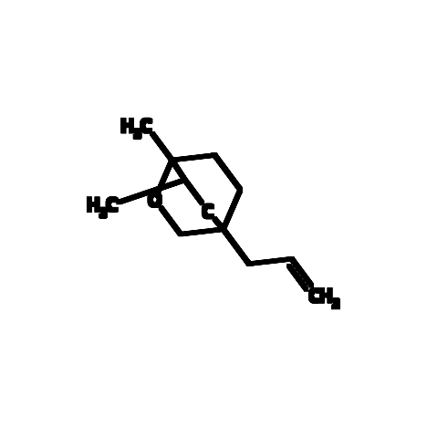 C=CCC12CCC(C)(OC1)C(C)C2